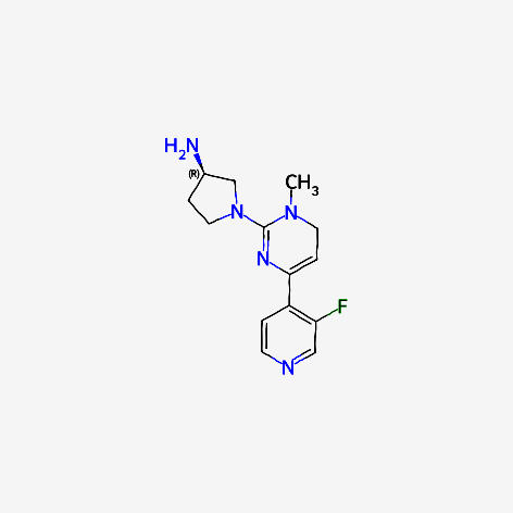 CN1CC=C(c2ccncc2F)N=C1N1CC[C@@H](N)C1